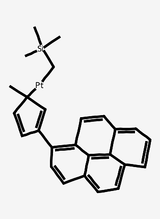 C[C]1([Pt][CH2][Si](C)(C)C)C=CC(c2ccc3ccc4cccc5ccc2c3c45)=C1